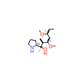 C=C(/C(=C\C(=C/C)OC)OC)[C@@](C)(O)[C@@H]1CCCN1